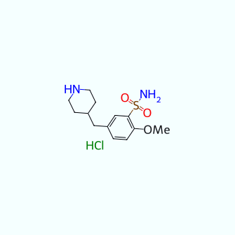 COc1ccc(CC2CCNCC2)cc1S(N)(=O)=O.Cl